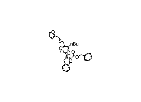 CCCC[C@H](NC(=O)[C@H](Cc1ccccc1)NC(=O)OCc1ccccc1)C(=O)CSCc1ccco1